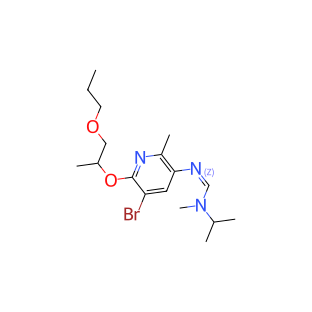 CCCOCC(C)Oc1nc(C)c(/N=C\N(C)C(C)C)cc1Br